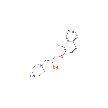 OC(COc1ccc2ccccc2c1F)CN1CCNCC1